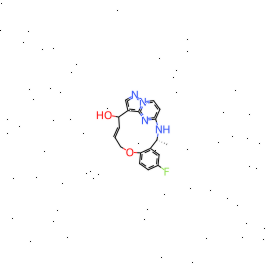 C[C@H]1Nc2ccn3ncc(c3n2)C(O)/C=C/COc2ccc(F)cc21